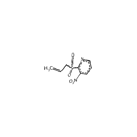 C=CCS(=O)(=O)c1ncccc1[N+](=O)[O-]